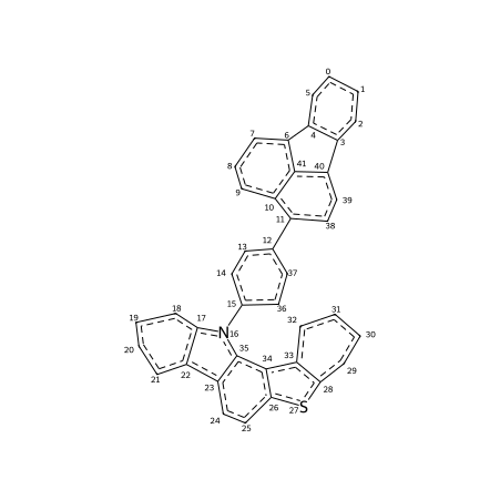 c1ccc2c(c1)-c1cccc3c(-c4ccc(-n5c6ccccc6c6ccc7sc8ccccc8c7c65)cc4)ccc-2c13